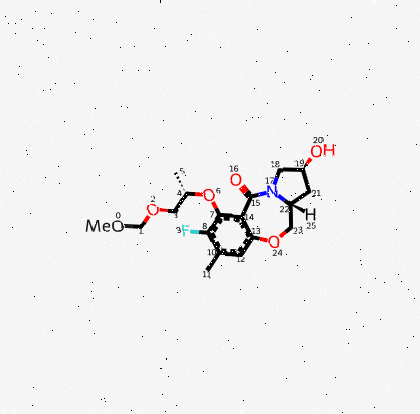 COCOC[C@H](C)Oc1c(F)c(C)cc2c1C(=O)N1C[C@@H](O)C[C@@H]1CO2